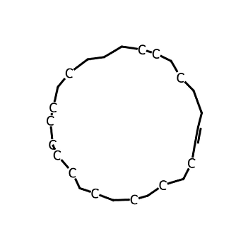 C1=CCCCCCCCCCCCCCCCCCCCCCCCC1